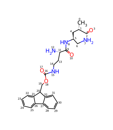 C[C@H](C=O)C[C@@H](CN)NC(=O)[C@@H](N)CCNC(=O)OCC1c2ccccc2-c2ccccc21